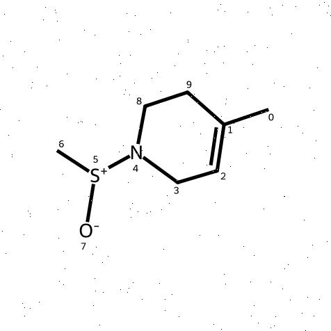 CC1=CCN([S+](C)[O-])CC1